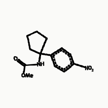 COC(=O)NC1(c2ccc([N+](=O)[O-])cc2)CCCC1